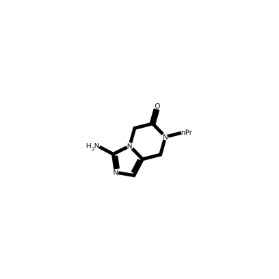 CCCN1Cc2cnc(N)n2CC1=O